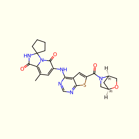 Cc1cc(Nc2ncnc3sc(C(=O)N4C[C@H]5C[C@@H]4CO5)cc23)c(=O)n2c1C(=O)NC21CCCC1